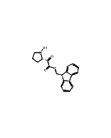 O=C(OCC1c2ccccc2-c2ccccc21)C(=O)[C@@H]1CCCN1O